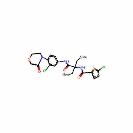 COCC(COC)(NC(=O)c1ccc(Br)s1)C(=O)Nc1ccc(N2CCOCC2=O)c(Cl)c1